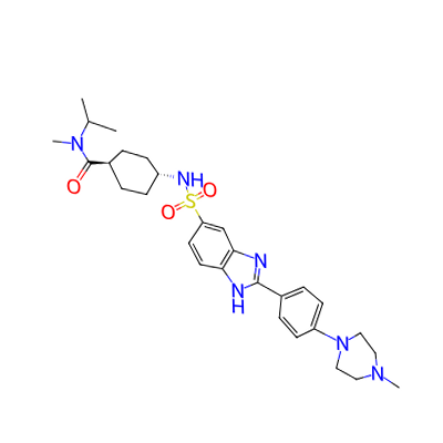 CC(C)N(C)C(=O)[C@H]1CC[C@H](NS(=O)(=O)c2ccc3[nH]c(-c4ccc(N5CCN(C)CC5)cc4)nc3c2)CC1